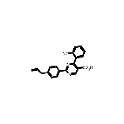 C=CCc1ccc(-c2ncc(C(=O)O)c(-c3ccccc3C#N)n2)cc1